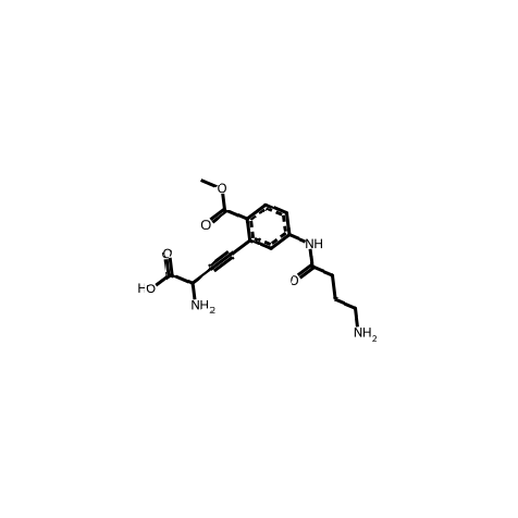 COC(=O)c1ccc(NC(=O)CCCN)cc1C#CC(N)C(=O)O